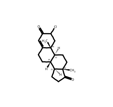 C[C@]12CC(Cl)C(=O)C=C1CC[C@@H]1[C@@H]2CC[C@]2(C)C(=O)CC[C@@H]12